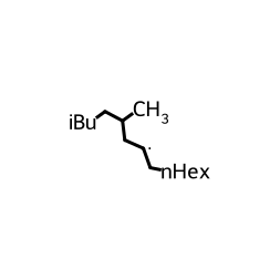 C[CH]C(C)CC(C)C[CH]CCCCCCC